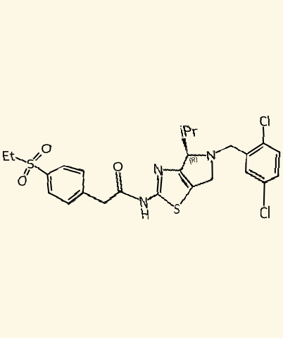 CCS(=O)(=O)c1ccc(CC(=O)Nc2nc3c(s2)CN(Cc2cc(Cl)ccc2Cl)[C@@H]3C(C)C)cc1